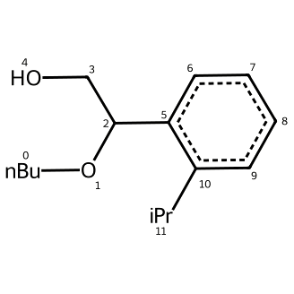 CCCCOC(CO)c1ccccc1C(C)C